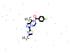 Cc1csc(-c2ncc3n2CCN(C(=O)c2ccc(F)cc2)C3C)n1